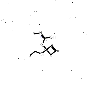 CCSC1(S/C(S)=N\C)C=CC1